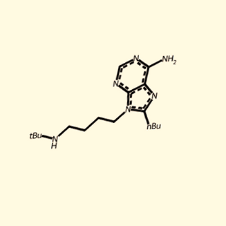 CCCCc1nc2c(N)ncnc2n1CCCCNC(C)(C)C